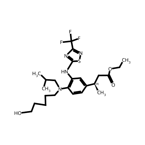 CCOC(=O)C[C@@H](C)c1ccc(N(CCCCCO)CC(C)C)c(Nc2nc(C(F)(F)F)ns2)c1